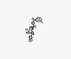 CCN(CC)C(=O)c1ccc(C(=O)N/N=C(\C)c2csc(-c3ccc4c(c3)CCO4)c2O)s1